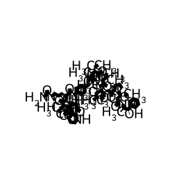 CC[C@H](C)[C@@H]([C@@H](CC(=O)N1CCC[C@H]1[C@H](OC)[C@@H](C)C(=O)N[C@H](C)[C@@H](O)c1ccccc1)OC)N(C)C(=O)[C@@H](NC(=O)[C@H](C(C)C)N(C)C(=O)OCc1ccc(NC(=O)[C@H](CCCNC(N)=O)NC(=O)[C@@H](NC(=O)C2(N3C(=O)C=CC3=O)CCCNC2)C(C)C)cc1)C(C)C